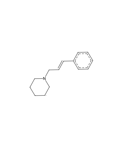 [CH]1CCCN(CC=Cc2ccccc2)C1